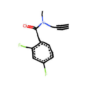 C#CN(C)C(=O)c1ccc(F)cc1F